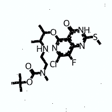 CSc1nc2c(F)c(Cl)nc(OC(C)C(C)NCCN(C)C(=O)OC(C)(C)C)c2c(=O)[nH]1